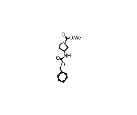 COC(=O)N1CC[C@@H](NC(=O)OCc2ccccc2)C1